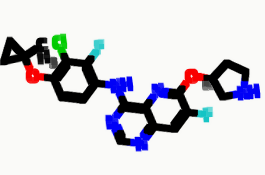 CC1(Oc2ccc(Nc3ncnc4cc(F)c(O[C@H]5CCNC5)nc34)c(F)c2Cl)CC1